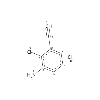 C#Cc1cccc(N)c1Cl.Cl